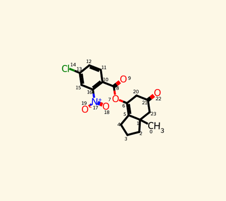 CC12CCCC1=C(OC(=O)c1ccc(Cl)cc1[N+](=O)[O-])CC(=O)C2